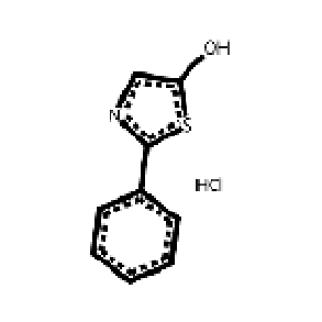 Cl.Oc1cnc(-c2ccccc2)s1